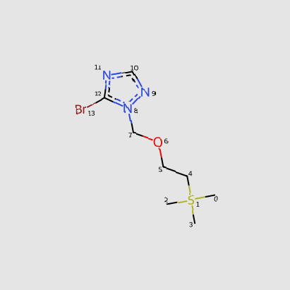 CS(C)(C)CCOCn1ncnc1Br